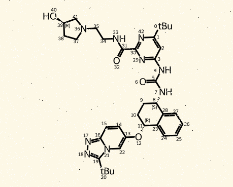 CC(C)(C)c1cc(NC(=O)N[C@H]2CC[C@@H](Oc3ccc4nnc(C(C)(C)C)n4c3)c3ccccc32)nc(C(=O)NCCN2CC[C@@H](O)C2)n1